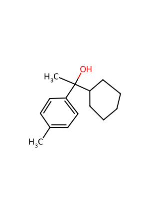 Cc1ccc(C(C)(O)C2CCCCC2)cc1